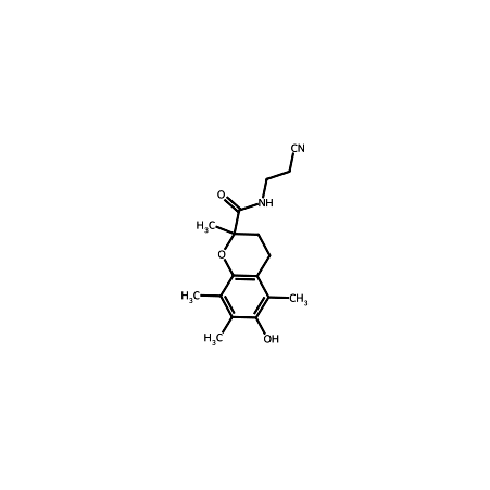 Cc1c(C)c2c(c(C)c1O)CCC(C)(C(=O)NCCC#N)O2